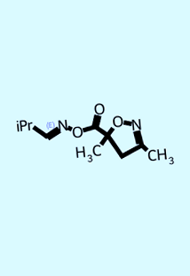 CC1=NOC(C)(C(=O)O/N=C/C(C)C)C1